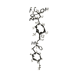 O=C(Cc1ccc(F)cc1)NCc1ccc(C2=NOC(O)(C(F)(F)F)C2)cc1